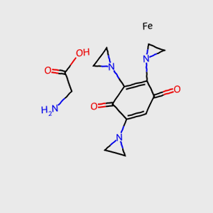 NCC(=O)O.O=C1C=C(N2CC2)C(=O)C(N2CC2)=C1N1CC1.[Fe]